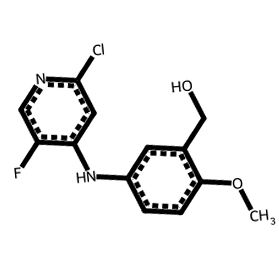 COc1ccc(Nc2cc(Cl)ncc2F)cc1CO